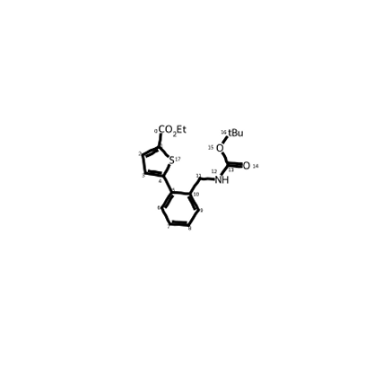 CCOC(=O)c1ccc(-c2ccccc2CNC(=O)OC(C)(C)C)s1